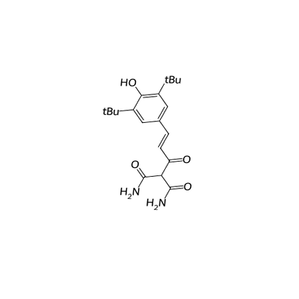 CC(C)(C)c1cc(C=CC(=O)C(C(N)=O)C(N)=O)cc(C(C)(C)C)c1O